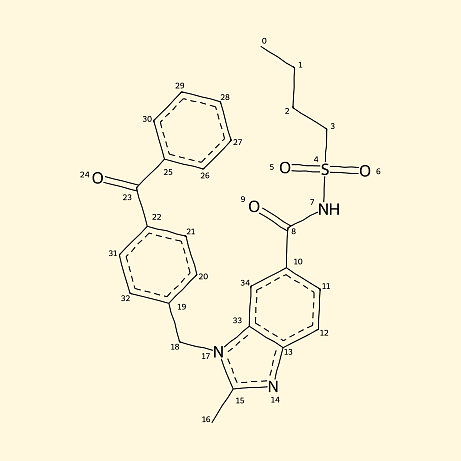 CCCCS(=O)(=O)NC(=O)c1ccc2nc(C)n(Cc3ccc(C(=O)c4ccccc4)cc3)c2c1